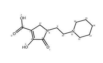 O=C(O)C1=C(O)C(=O)N(CCN2CCCCC2)C1